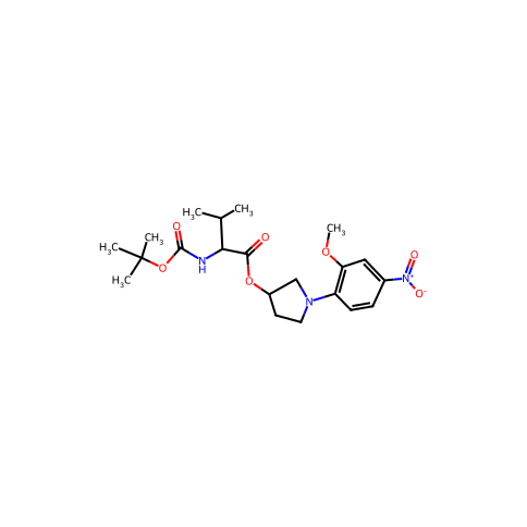 COc1cc([N+](=O)[O-])ccc1N1CCC(OC(=O)C(NC(=O)OC(C)(C)C)C(C)C)C1